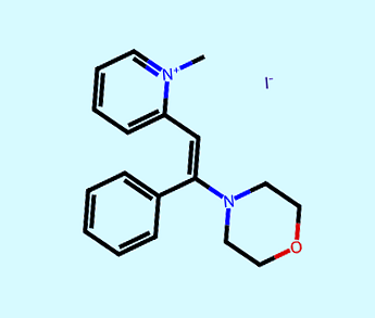 C[n+]1ccccc1/C=C(\c1ccccc1)N1CCOCC1.[I-]